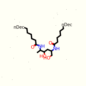 CCCCCCCCCCCCCCCC(=O)NC(CO)CC(O)C(C)NC(=O)CCCCCCCCCCCCCCC